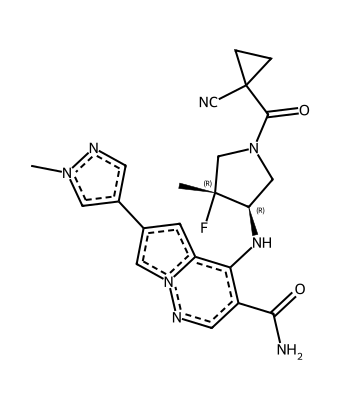 Cn1cc(-c2cc3c(N[C@@H]4CN(C(=O)C5(C#N)CC5)C[C@@]4(C)F)c(C(N)=O)cnn3c2)cn1